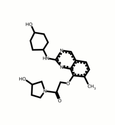 Cc1ccc2cnc(NC3CCC(O)CC3)nc2c1OCC(=O)N1CCC(O)C1